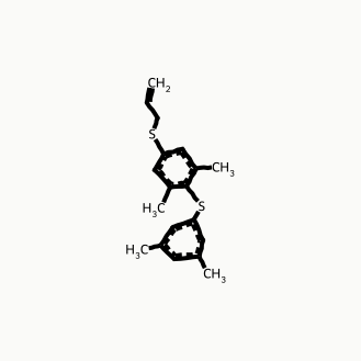 C=CCSc1cc(C)c(Sc2cc(C)cc(C)c2)c(C)c1